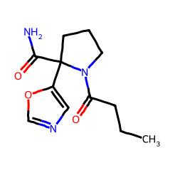 CCCC(=O)N1CCCC1(C(N)=O)c1cnco1